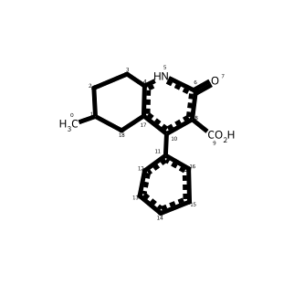 CC1CCc2[nH]c(=O)c(C(=O)O)c(-c3ccccc3)c2C1